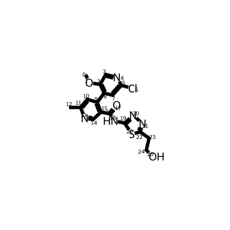 COc1cnc(Cl)cc1-c1cc(C)ncc1C(=O)Nc1nnc(CCO)s1